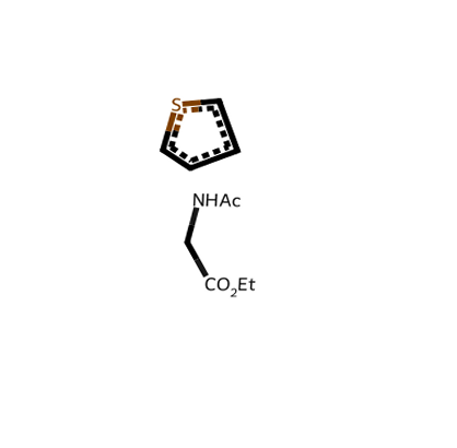 CCOC(=O)CNC(C)=O.c1ccsc1